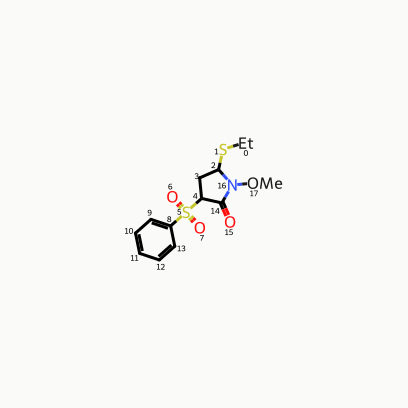 CCSC1CC(S(=O)(=O)c2ccccc2)C(=O)N1OC